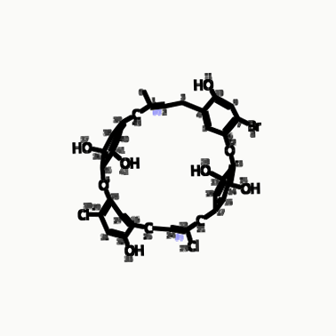 C/C1=C/Cc2cc(c(Br)cc2O)Oc2c(O)cc(cc2O)C/C(Cl)=C\Cc2cc(c(Cl)cc2O)Oc2c(O)cc(cc2O)C1